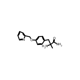 CC(N)(Cc1ccc(OCc2ccccn2)cc1)C(N)=O